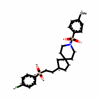 COc1ccc(S(=O)(=O)N2CCC3(CCC(CCS(=O)(=O)c4ccc(F)cc4)C3)CC2)cc1